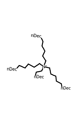 CCCCCCCCCCCCCCC[N+](CCCCCCCCCCCC)(CCCCCCCCCCCCCCC)CCCCCCCCCCCCCCC